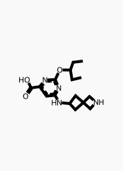 CCC(CC)Oc1nc(NC2CC3(CNC3)C2)cc(C(=O)O)n1